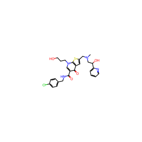 CN(Cc1cc2c(=O)c(C(=O)NCc3ccc(Cl)cc3)cn(CCCO)c2s1)CC(O)c1ccccn1